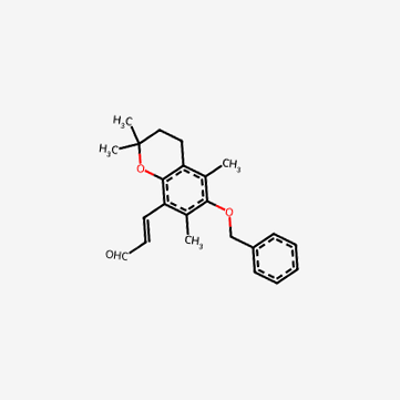 Cc1c(/C=C/C=O)c2c(c(C)c1OCc1ccccc1)CCC(C)(C)O2